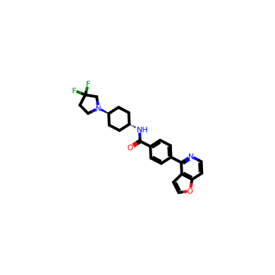 O=C(N[C@H]1CC[C@H](N2CCC(F)(F)C2)CC1)c1ccc(-c2nccc3occc23)cc1